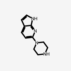 c1cc2ccc(N3CCNCC3)nc2[nH]1